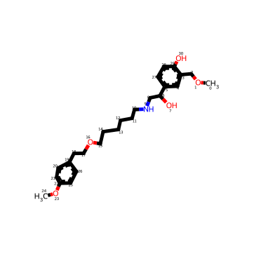 COCc1cc(C(O)CNCCCCCCOCCc2ccc(OC)cc2)ccc1O